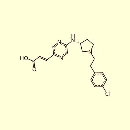 O=C(O)C=Cc1cnc(N[C@@H]2CCN(CCc3ccc(Cl)cc3)C2)cn1